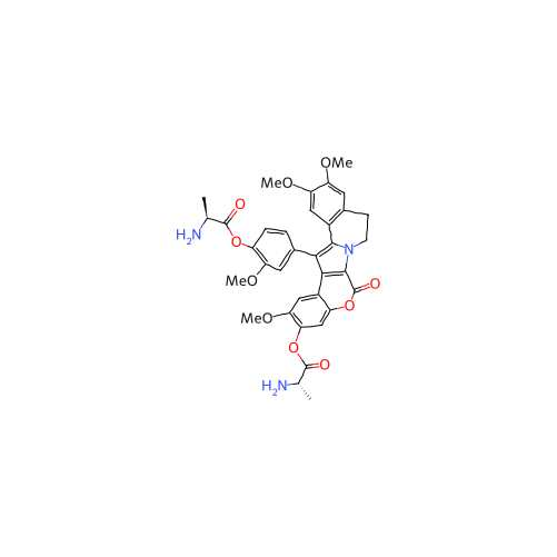 COc1cc2c(cc1OC)-c1c(-c3ccc(OC(=O)[C@H](C)N)c(OC)c3)c3c4cc(OC)c(OC(=O)[C@H](C)N)cc4oc(=O)c3n1CC2